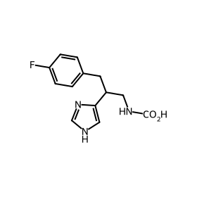 O=C(O)NCC(Cc1ccc(F)cc1)c1c[nH]cn1